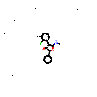 CNC1=C(c2cccc(C)c2Cl)C(=O)C(c2ccccc2)O1